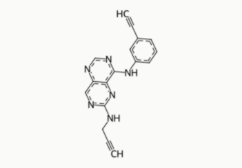 C#CCNc1ncc2ncnc(Nc3cccc(C#C)c3)c2n1